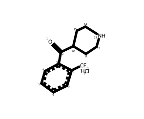 Cl.O=C(c1ccccc1C(F)(F)F)C1CCNCC1